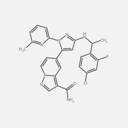 Cc1cccc(-n2nc(NC(C)c3ccc(Cl)cc3F)cc2-c2ccn3ncc(C(N)=O)c3c2)n1